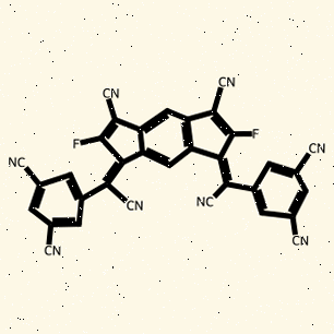 N#CC1=C(F)/C(=C(/C#N)c2cc(C#N)cc(C#N)c2)c2cc3c(cc21)C(C#N)=C(F)/C3=C(/C#N)c1cc(C#N)cc(C#N)c1